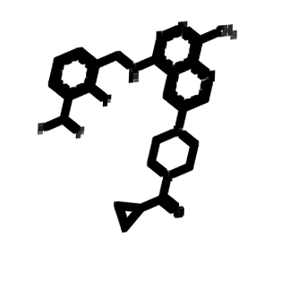 Cc1nnc(NCc2cccc(C(F)F)c2F)c2cc(N3CCN(C(=O)C4CC4)CC3)cnc12